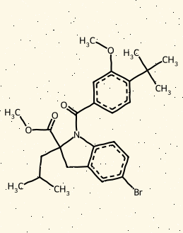 COC(=O)C1(CC(C)C)Cc2cc(Br)ccc2N1C(=O)c1ccc(C(C)(C)C)c(OC)c1